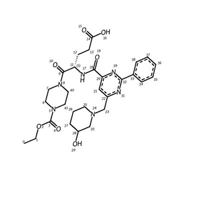 CCOC(=O)N1CCN(C(=O)[C@H](CCC(=O)O)NC(=O)c2cc(CN3CCCC(O)C3)nc(-c3ccccc3)n2)CC1